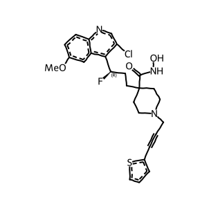 COc1ccc2ncc(Cl)c([C@H](F)CCC3(C(=O)NO)CCN(CC#Cc4cccs4)CC3)c2c1